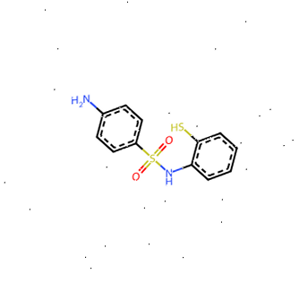 Nc1ccc(S(=O)(=O)Nc2ccccc2S)cc1